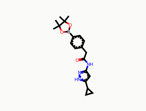 CC1(C)OB(c2ccc(CC(=O)Nc3cc(C4CC4)[nH]n3)cc2)OC1(C)C